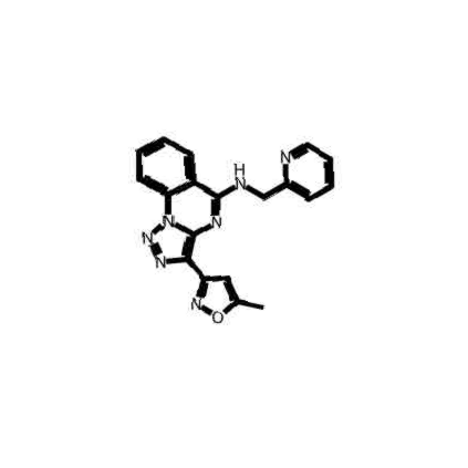 Cc1cc(-c2nnn3c2nc(NCc2ccccn2)c2ccccc23)no1